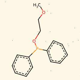 COCCOP(c1ccccc1)c1ccccc1